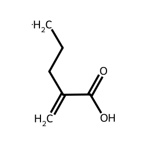 [CH2]CCC(=C)C(=O)O